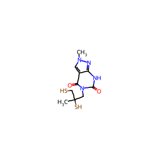 Cn1cc2c(=O)n(CC(C)(S)CS)c(=O)[nH]c2n1